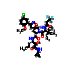 CCC[C@H](NC(=O)[C@@H]1C[C@]2(CC(c3cc(Cl)ccc3OC)=NO2)CN1C(=O)[C@@H](NC(=O)CC(F)(F)F)C(C)(C)C)C(=O)C(=O)NC1CC1